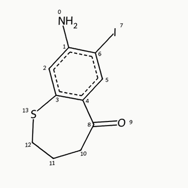 Nc1cc2c(cc1I)C(=O)CCCS2